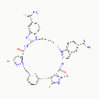 CCn1nc(C)c2c1C(=O)Nc1cc3cc(C(N)=O)ccc3n1CCCCn1c(nc3cc(C(N)=O)ccc31)NC(=O)c1cc(C)nn1Cc1cccc(c1)C2